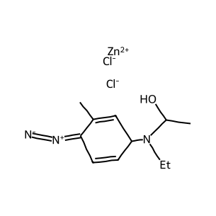 CCN(C(C)O)C1C=CC(=[N+]=[N-])C(C)=C1.[Cl-].[Cl-].[Zn+2]